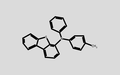 Cc1ccc(N(c2ccccc2)c2cccc3c2sc2ccccc23)cc1